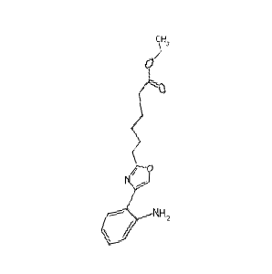 CCOC(=O)CCCCCc1nc(-c2ccccc2N)co1